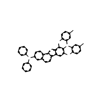 Cc1ccc2c(c1)B1c3cc(C)ccc3Oc3c1c(cc1c3sc3c4ccc(N(c5ccccc5)c5ccccc5)cc4ccc13)O2